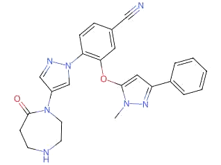 Cn1nc(-c2ccccc2)cc1Oc1cc(C#N)ccc1-n1cc(N2CCNCCC2=O)cn1